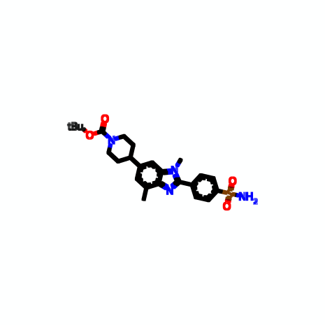 Cc1cc(C2CCN(C(=O)OC(C)(C)C)CC2)cc2c1nc(-c1ccc(S(N)(=O)=O)cc1)n2C